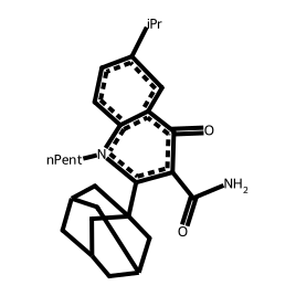 CCCCCn1c(C23CC4CC(CC(C4)C2)C3)c(C(N)=O)c(=O)c2cc(C(C)C)ccc21